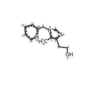 Cc1c(CCO)sc[n+]1Cc1ccccn1